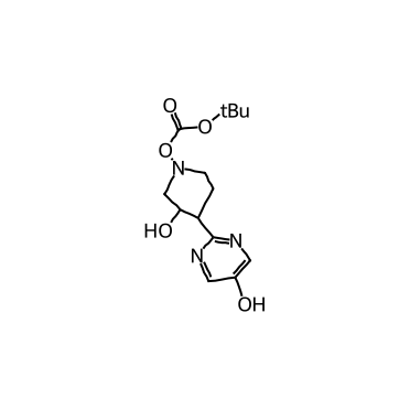 CC(C)(C)OC(=O)ON1CCC(c2ncc(O)cn2)C(O)C1